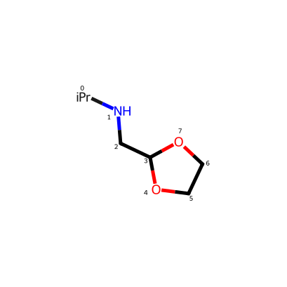 CC(C)NCC1OCCO1